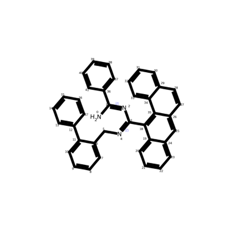 N/C(=N\C(=N/Cc1ccccc1-c1ccccc1)c1c2ccccc2cc2ccc3ccccc3c12)c1ccccc1